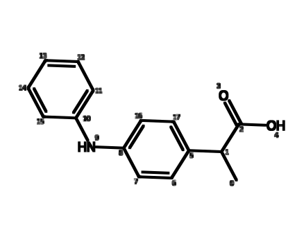 CC(C(=O)O)c1ccc(Nc2ccccc2)cc1